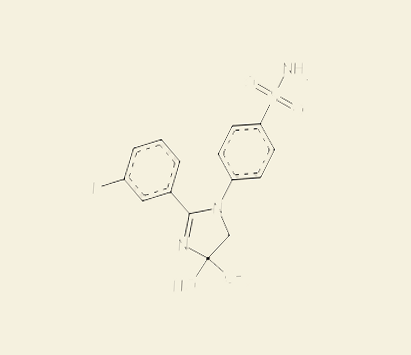 NS(=O)(=O)c1ccc(N2CC(O)(C(F)(F)F)N=C2c2cccc(F)c2)cc1